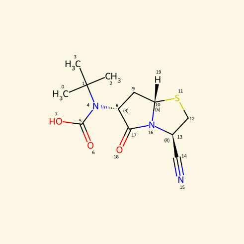 CC(C)(C)N(C(=O)O)[C@@H]1C[C@@H]2SC[C@@H](C#N)N2C1=O